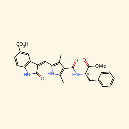 COC(=O)[C@@H](Cc1ccccc1)NC(=O)c1c(C)[nH]c(C=C2C(=O)Nc3ccc(C(=O)O)cc32)c1C